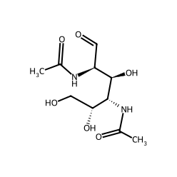 CC(=O)N[C@@H]([C@H](O)[C@H](C=O)NC(C)=O)[C@H](O)CO